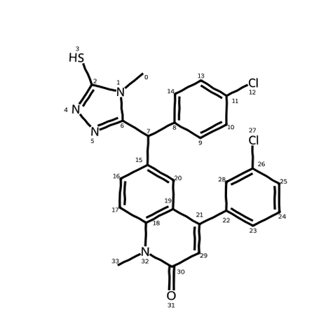 Cn1c(S)nnc1C(c1ccc(Cl)cc1)c1ccc2c(c1)c(-c1cccc(Cl)c1)cc(=O)n2C